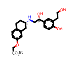 CCOC(=O)COc1ccc2c(c1)C[C@@H](NC[C@@H](O)c1ccc(O)c(CCO)c1)CC2